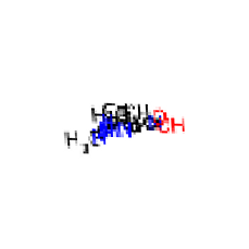 Cc1cc(-c2[nH]c3ccc(C4CCN(C(=O)O)CC4)cc3c2C(C)C)cc(N2CCN(C)CC2)n1